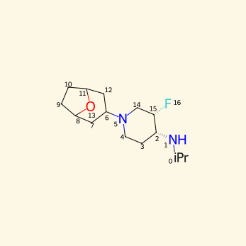 CC(C)N[C@@H]1CCN(C2CC3CCC(C2)O3)C[C@@H]1F